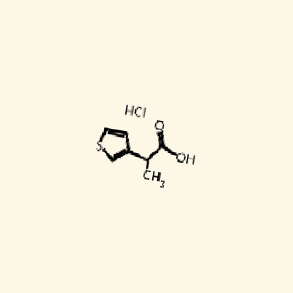 CC(C(=O)O)c1ccsc1.Cl